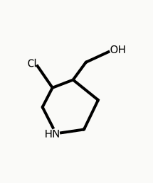 OCC1CCNCC1Cl